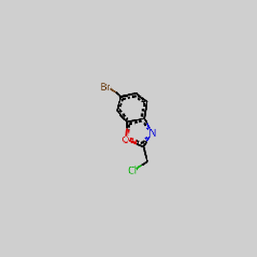 ClCc1nc2ccc(Br)cc2o1